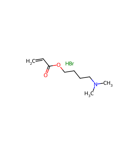 Br.C=CC(=O)OCCCCN(C)C